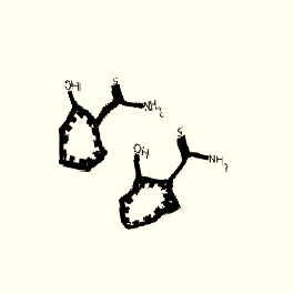 NC(=S)c1ccccc1O.NC(=S)c1ccccc1O